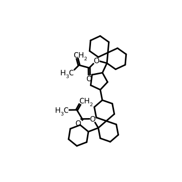 C=C(C)C(=O)OC1(C2CCCCC2)CCCCC12CCC(C1CCC(C3(OC(=O)C(=C)C)CCCCC34CCCCC4)C1)CC2